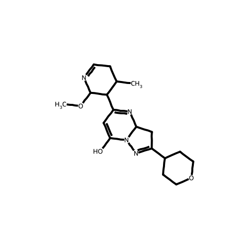 COC1N=CCC(C)C1C1=NC2CC(C3CCOCC3)=NN2C(O)=C1